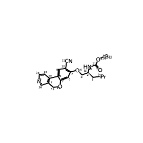 CC(C)C[C@@H](COc1cc2c(cc1C#N)-c1ccncc1CO2)NC(=O)OC(C)(C)C